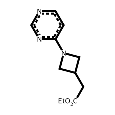 CCOC(=O)CC1CN(c2ccncn2)C1